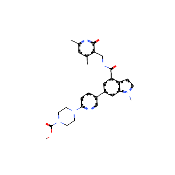 CCCc1cc(C)[nH]c(=O)c1CNC(=O)c1cc(-c2ccc(N3CCN(C(=O)OC(C)(C)C)CC3)nc2)cc2c1ccn2C(C)C